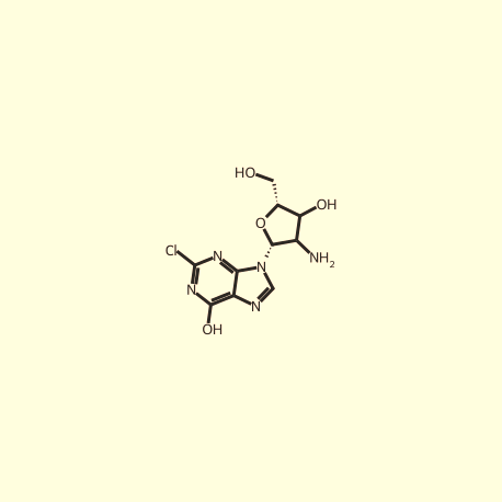 NC1C(O)[C@@H](CO)O[C@H]1n1cnc2c(O)nc(Cl)nc21